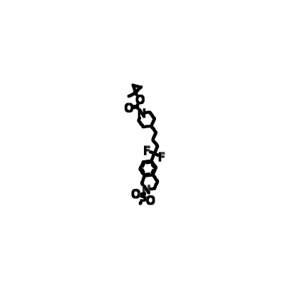 CC1(OC(=O)N2CCC(CCCC(F)(F)c3ccc4c(c3)CCN(S(C)(=O)=O)C4)CC2)CC1